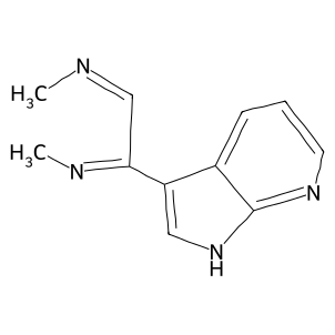 C/N=C\C(=N/C)c1c[nH]c2ncccc12